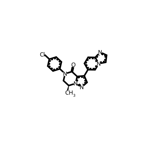 C[C@H]1CN(c2ccc(Cl)cc2)C(=O)c2c(-c3ccc4nccn4c3)cnn21